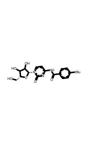 CC(C)(C)c1ccc(C(=O)Nc2ccn([C@@H]3O[C@H](CO)C(O)C3O)c(=O)n2)cc1